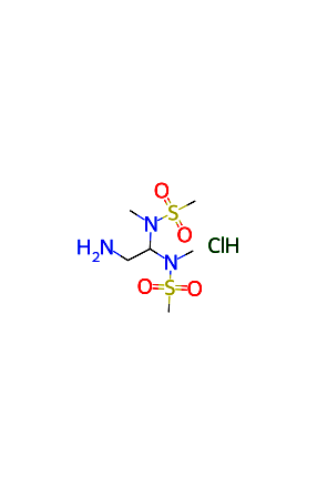 CN(C(CN)N(C)S(C)(=O)=O)S(C)(=O)=O.Cl